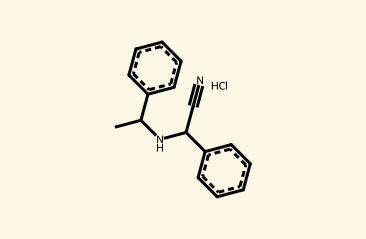 CC(NC(C#N)c1ccccc1)c1ccccc1.Cl